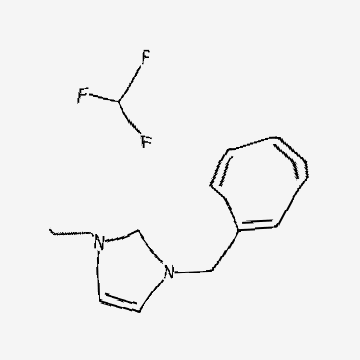 CN1C=CN(Cc2ccccc2)C1.FC(F)F